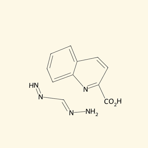 N=NC=NN.O=C(O)c1ccc2ccccc2n1